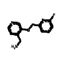 NCc1ccncc1OCc1cccc(F)n1